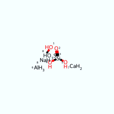 O=S(=O)(O)O.O=[Si](O)O.[AlH3].[CaH2].[NaH]